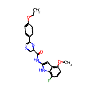 CCOc1ccc(-c2cncc(C(=O)Nc3cc4c(OC)ccc(F)c4[nH]3)n2)cc1